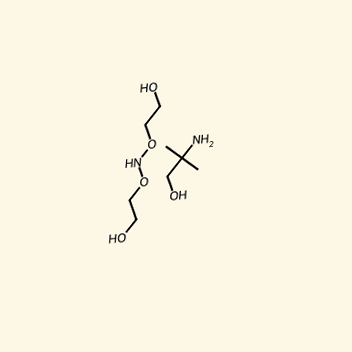 CC(C)(N)CO.OCCONOCCO